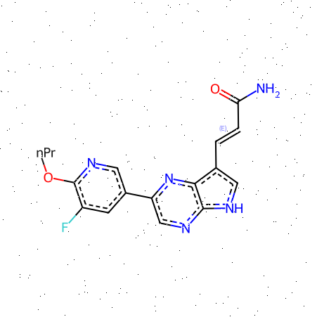 CCCOc1ncc(-c2cnc3[nH]cc(/C=C/C(N)=O)c3n2)cc1F